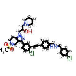 CS(=O)(=O)N1CCc2c(c(-c3ccc(Cl)c(C#Cc4ccc(CNCc5ccc(Cl)cc5)cc4)c3)nn2CC(O)CN2CCCCC2)C1